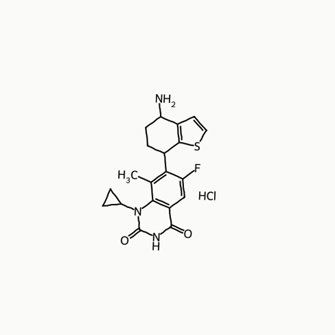 Cc1c(C2CCC(N)c3ccsc32)c(F)cc2c(=O)[nH]c(=O)n(C3CC3)c12.Cl